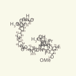 COCOc1cc(-c2ncc3c(N4CCC[C@@](C)(O)C4)nc(OC[C@@]45CCCN4[C@H](COC(=O)N4CCC(CN6CCC(c7ccc8c(c7)n(C)c(=O)n8C7CCC(=O)NC7=O)CC6)CC4)CC5)nc3c2F)c2c(C#C[Si](C(C)C)(C(C)C)C(C)C)cc(F)cc2c1